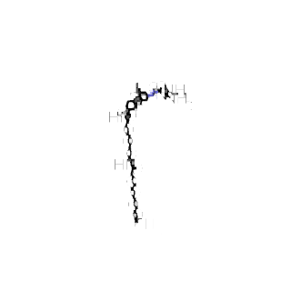 CCOCCOCCOCCOCCC(=O)NCCOCCOCCOCCNS(=O)(=O)c1ccc(Oc2c(F)cc(/C=C(\C)C(=O)N=C(N)N)cc2F)cc1